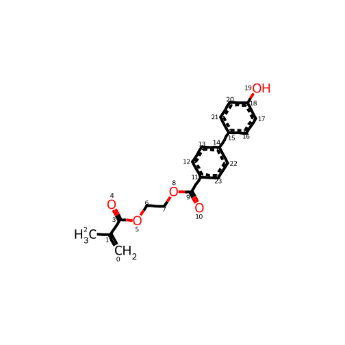 C=C(C)C(=O)OCCOC(=O)c1ccc(-c2ccc(O)cc2)cc1